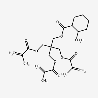 C=C(C)C(=O)OCC(COC(=O)C(=C)C)(COC(=O)C(=C)C)COC(=O)C1CCCCC1C(=O)O